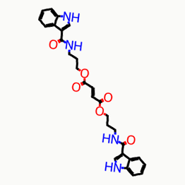 O=C(/C=C/C(=O)OCCCNC(=O)c1c[nH]c2ccccc12)OCCCNC(=O)c1c[nH]c2ccccc12